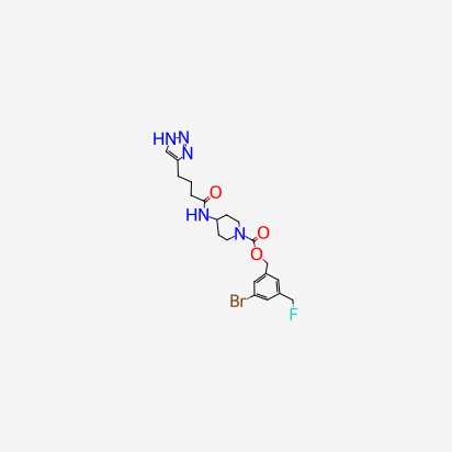 O=C(CCCc1c[nH]nn1)NC1CCN(C(=O)OCc2cc(Br)cc(CF)c2)CC1